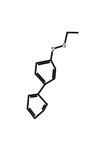 CCSSc1ccc(-c2ccccc2)cc1